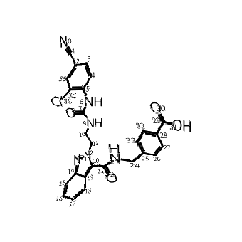 N#Cc1ccc(NC(=O)NCCn2nc3ccccc3c2C(=O)NCc2ccc(C(=O)O)cc2)c(Cl)c1